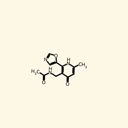 CC(=O)NCc1c(-c2cnco2)[nH]c(C)cc1=O